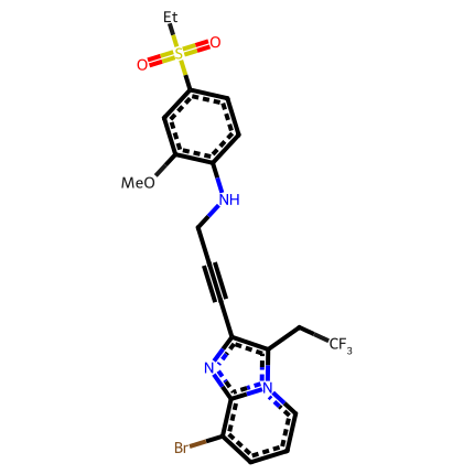 CCS(=O)(=O)c1ccc(NCC#Cc2nc3c(Br)cccn3c2CC(F)(F)F)c(OC)c1